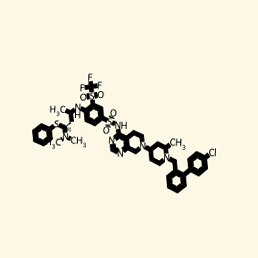 CC(C[C@@H](Sc1ccccc1)N(C)C)Nc1ccc(S(=O)(=O)Nc2ncnc3c2CCN(C2CCN(Cc4ccccc4-c4ccc(Cl)cc4)C(C)C2)C3)cc1S(=O)(=O)C(F)(F)F